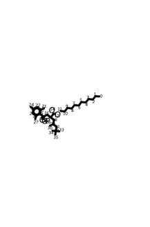 CCCCCCCCCCCCOC(=O)C(CC(=O)c1c(C)cc(C)cc1C)(CC(C)CC(C)(C)C)P=O